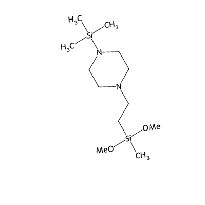 CO[Si](C)(CCN1CCN([Si](C)(C)C)CC1)OC